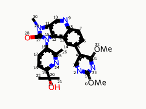 COc1ncc(-c2ccc3ncc4c(c3c2)n(-c2ccc(C(C)(C)O)nc2C)c(=O)n4C)c(OC)n1